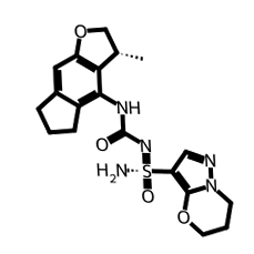 C[C@H]1COc2cc3c(c(NC(=O)N=[S@](N)(=O)c4cnn5c4OCCC5)c21)CCC3